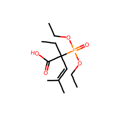 CCOP(=O)(OCC)C(C=C(C)C)(CC)C(=O)O